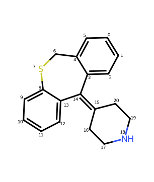 c1ccc2c(c1)CSc1ccccc1C2=C1CCNCC1